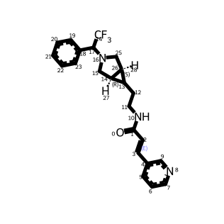 O=C(/C=C/c1cccnc1)NCCC1[C@H]2CN(C(c3ccccc3)C(F)(F)F)C[C@@H]12